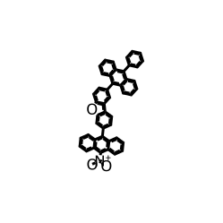 O=[N+]([O-])c1c2ccccc2c(-c2ccc3c(c2)oc2ccc(-c4c5ccccc5c(-c5ccccc5)c5ccccc45)cc23)c2ccccc12